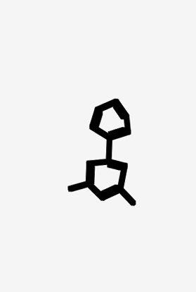 Cc1[c]c(C)cc(-c2ccccc2)c1